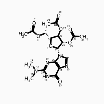 CC(=O)OC[C@H]1O[C@@H](n2cnc3c(=O)[nH]c(N(C)C)nc32)[C@@H](OC(C)=O)C1OC(C)=O